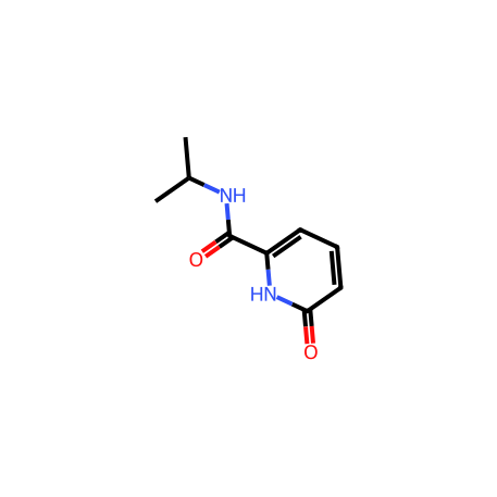 CC(C)NC(=O)c1cccc(=O)[nH]1